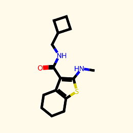 CNc1sc2c(c1C(=O)NCC1CCC1)CCCC2